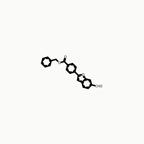 O=Cc1ccc2cc(-c3ccc(C(=O)OCc4ccccc4)cc3)oc2c1